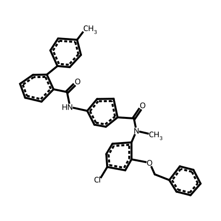 Cc1ccc(-c2ccccc2C(=O)Nc2ccc(C(=O)N(C)c3ccc(Cl)cc3OCc3ccccc3)cc2)cc1